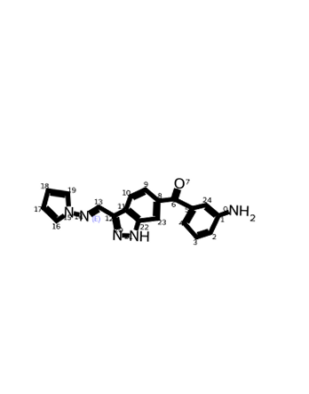 Nc1cccc(C(=O)c2ccc3c(/C=N/n4cccc4)n[nH]c3c2)c1